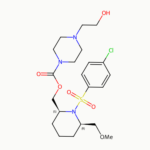 COC[C@H]1CCC[C@@H](COC(=O)N2CCN(CCO)CC2)N1S(=O)(=O)c1ccc(Cl)cc1